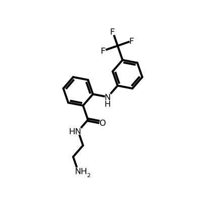 NCCNC(=O)c1ccccc1Nc1cccc(C(F)(F)F)c1